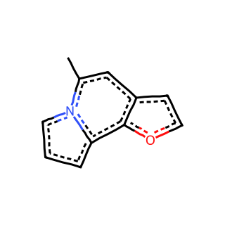 Cc1cc2ccoc2c2cccn12